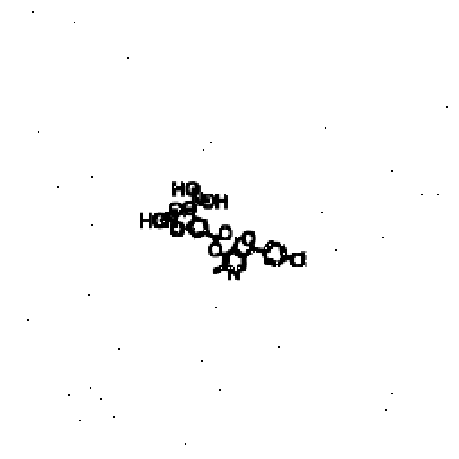 Cc1ncc2c(c1OC(=O)C1C[C@H](ON(O)O)[C@H](ON(O)O)C1)CO[C@H]2c1ccc(Cl)cc1